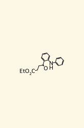 CCOC(=O)CCC(=O)c1ccccc1Nc1ccccc1